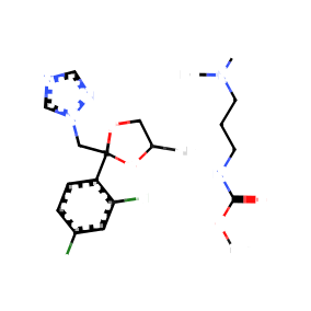 CCCC1COC(Cn2cncn2)(c2ccc(Cl)cc2Cl)O1.CCCOC(=O)NCCCN(C)C